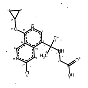 CC(C)(NCC(=O)O)c1cnc(OC2CC2)c2cnc(Cl)cc12